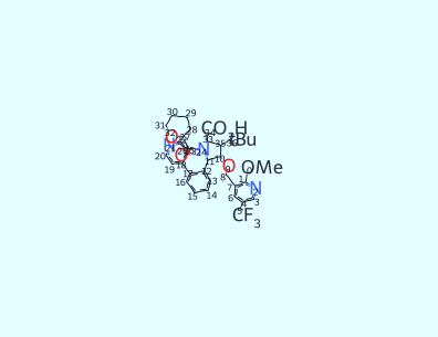 COc1ncc(C(F)(F)F)cc1COC1C(c2ccccc2-c2ccncc2)N(C(=O)[C@@H]2CCCCO2)C(C(=O)O)C1C(C)(C)C